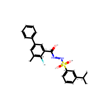 Cc1cc(-c2ccccc2)cc(C(=O)NNS(=O)(=O)c2cccc(C(C)C)c2)c1F